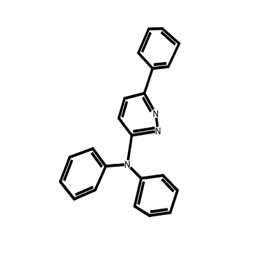 c1ccc(-c2ccc(N(c3ccccc3)c3ccccc3)nn2)cc1